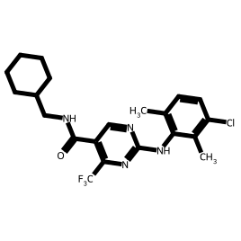 Cc1ccc(Cl)c(C)c1Nc1ncc(C(=O)NCC2CCCCC2)c(C(F)(F)F)n1